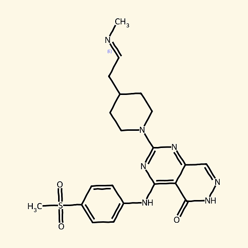 C/N=C/CC1CCN(c2nc(Nc3ccc(S(C)(=O)=O)cc3)c3c(=O)[nH]ncc3n2)CC1